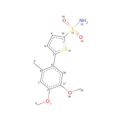 COc1cc(C)c(-c2ccc(S(N)(=O)=O)s2)cc1OC